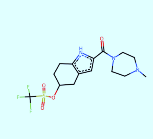 CN1CCN(C(=O)c2cc3c([nH]2)CCC(OS(=O)(=O)C(F)(F)F)C3)CC1